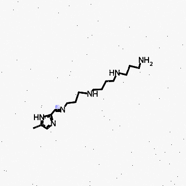 Cc1cnc(/C=N/CCCNCCCCNCCCN)[nH]1